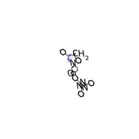 C=C1/C=C(c2ccccc2)\C=C/N(C2=Cc3oc4ccc(-c5nc(-c6ccccc6)nc(-c6ccccc6)n5)cc4c3CC2)c2ccccc21